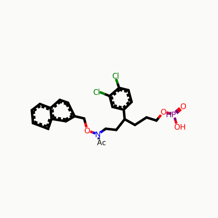 CC(=O)N(CCC(CCCO[PH](=O)O)c1ccc(Cl)c(Cl)c1)OCc1ccc2ccccc2c1